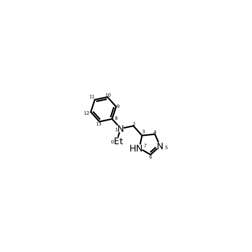 CCN(CC1CN=CN1)c1ccccc1